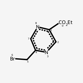 CCOC(=O)c1cnc(CBr)cn1